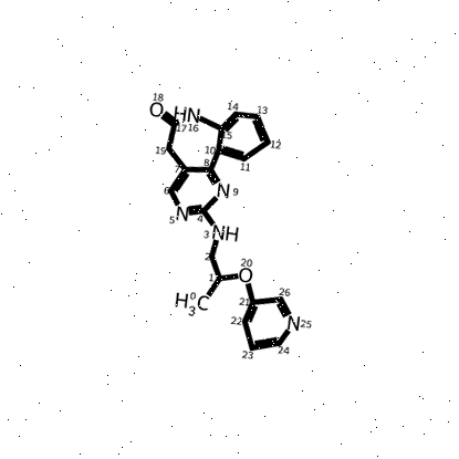 CC(CNc1ncc2c(n1)-c1ccccc1NC(=O)C2)Oc1cccnc1